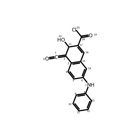 O=C=C1c2ccc(Nc3ccccc3)cc2C=C(C(=O)Cl)C1O